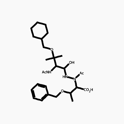 CC(=O)NC(C(O)NN(C(C)=O)C(C(=O)O)C(C)OCc1ccccc1)C(C)(C)OCC1CCCCC1